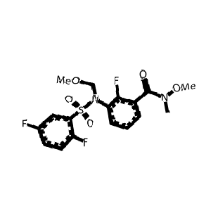 COCN(c1cccc(C(=O)N(C)OC)c1F)S(=O)(=O)c1cc(F)ccc1F